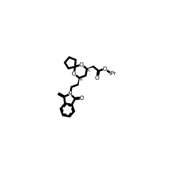 C=C1c2ccccc2C(=O)N1CC[C@@H]1C[C@H](CC(=O)OC(C)C)OC2(CCCC2)O1